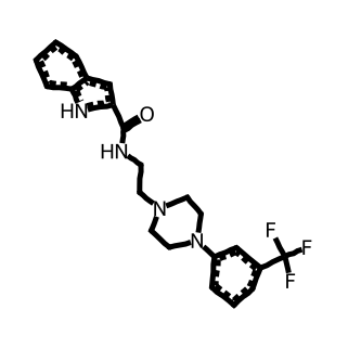 O=C(NCCN1CCN(c2cccc(C(F)(F)F)c2)CC1)c1cc2ccccc2[nH]1